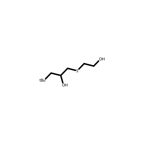 CC(C)(C)CC(O)CSCCO